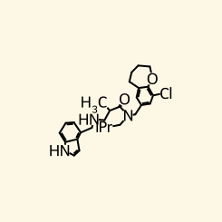 CC(C)CN(Cc1cc(Cl)c2c(c1)CCCCO2)C(=O)C(C)CNCc1cccc2[nH]ccc12